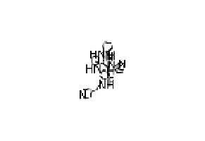 O=c1[nH]c2cc(NCCc3ccncc3)c(F)cc2c(N[C@H]2CN3CCC2CC3)c1-c1nc2ccccc2[nH]1